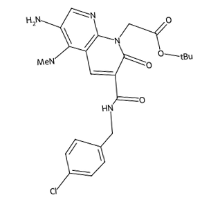 CNc1c(N)cnc2c1cc(C(=O)NCc1ccc(Cl)cc1)c(=O)n2CC(=O)OC(C)(C)C